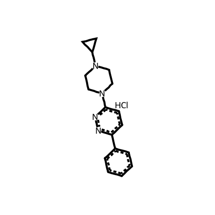 Cl.c1ccc(-c2ccc(N3CCN(C4CC4)CC3)nn2)cc1